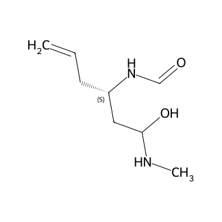 C=CC[C@@H](CC(O)NC)NC=O